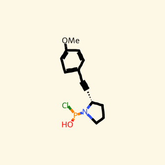 COc1ccc(C#C[C@@H]2CCCN2P(O)Cl)cc1